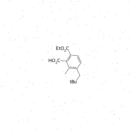 CCOC(=O)c1ccc(CC(C)(C)C)c(C)c1C(=O)O